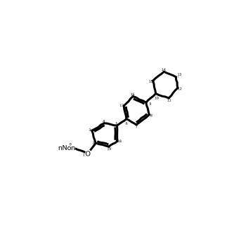 CCCCCCCCCOc1ccc(-c2ccc(C3CC[CH]CC3)cc2)cc1